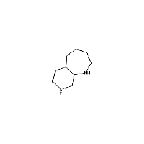 C1CCC2CCNCC2NC1